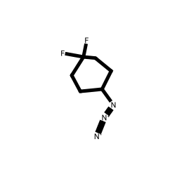 [N-]=[N+]=NC1CCC(F)(F)CC1